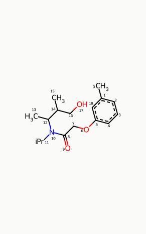 Cc1cccc(OCC(=O)N(C(C)C)C(C)C(C)CO)c1